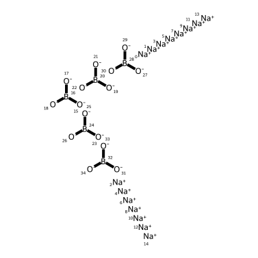 [Na+].[Na+].[Na+].[Na+].[Na+].[Na+].[Na+].[Na+].[Na+].[Na+].[Na+].[Na+].[Na+].[Na+].[Na+].[O-]B([O-])[O-].[O-]B([O-])[O-].[O-]B([O-])[O-].[O-]B([O-])[O-].[O-]B([O-])[O-]